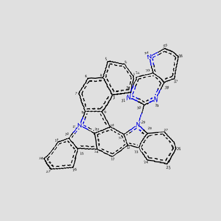 c1ccc2c(c1)ccc1c2c2c3c(cc4c5ccccc5n1c42)c1ccccc1n3-c1ncc2ncccc2n1